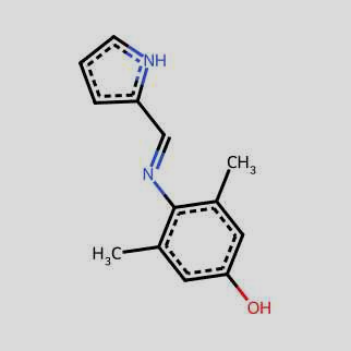 Cc1cc(O)cc(C)c1/N=C/c1ccc[nH]1